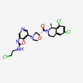 C[C@H]1c2c(Cl)cc(Cl)cc2CCN1C(=O)[C@H]1CN(c2cncc3nc(NCCCl)oc23)CCO1